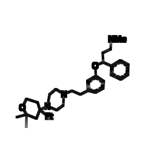 CCC1(N2CCN(CCc3cccc(OC(CCNC)c4ccccc4)c3)CC2)CCOC(C)(C)C1